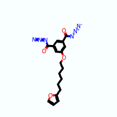 [N-]=[N+]=NC(=O)c1cc(OCCCCCCc2ccco2)cc(C(=O)N=[N+]=[N-])c1